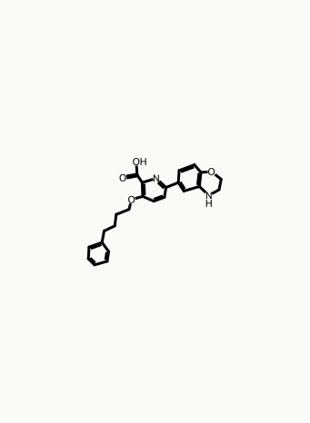 O=C(O)c1nc(-c2ccc3c(c2)NCCO3)ccc1OCCCCc1ccccc1